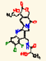 CC[C@@]1(O)C(=O)OCc2c1cc1n(c2=O)Cc2c-1nc1cc(F)c(Cl)c(F)c1c2CNC(=O)[C@@H](C)O